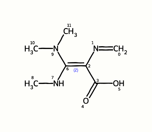 C=N/C(C(=O)O)=C(/NC)N(C)C